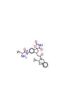 CC(C)[C@H](N)C(=O)Nc1ccc2c(c1)C(CC(=O)N(Cc1ccccc1)[C@@H](C)C1CC1)CC21OC(=O)NC1=O